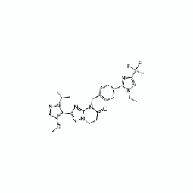 CCn1cc(C(F)(F)F)nc1-c1ccc(CN2C(=O)CCn3nc(-c4c(OC)cnn4C(C)C)nc32)cc1